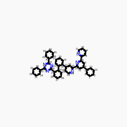 c1ccc(-c2cc(-c3ccccn3)nc(-c3cc(-c4ccccc4-c4ccccc4-c4nc(-c5ccccc5)nc(-c5ccccc5)n4)ccn3)c2)cc1